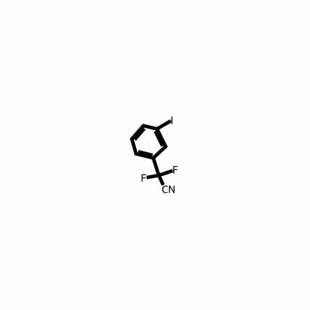 N#CC(F)(F)c1cccc(I)c1